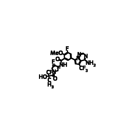 COc1c(F)cc(-c2cc(C(F)(F)F)c3c(N)ncnn23)cc1C(=O)N[C@@H]1CN(C(=O)C(C)(O)C(F)(F)F)C[C@@H]1F